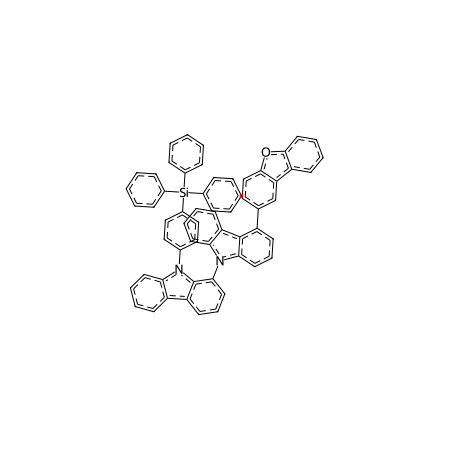 c1ccc([Si](c2ccccc2)(c2ccccc2)c2ccc(-n3c4ccccc4c4cccc(-n5c6ccccc6c6c(-c7ccc8oc9ccccc9c8c7)cccc65)c43)cc2)cc1